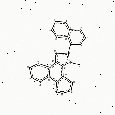 Cn1c(-c2cccc3ccccc23)nc2c3cccnc3c3ncccc3c21